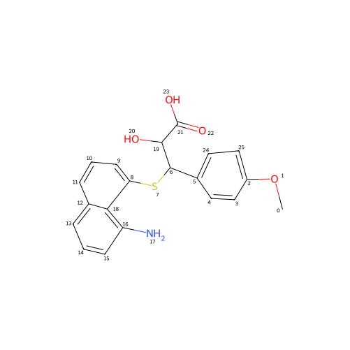 COc1ccc(C(Sc2cccc3cccc(N)c23)C(O)C(=O)O)cc1